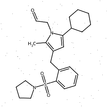 Cc1c(Cc2ccccc2S(=O)(=O)N2CCCC2)cc(C2CCCCC2)n1CC=O